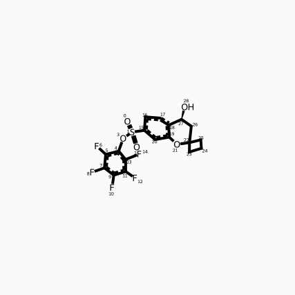 O=S(=O)(Oc1c(F)c(F)c(F)c(F)c1F)c1ccc2c(c1)OC1(CCC1)C[C@@H]2O